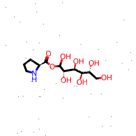 O=C(OC(O)[C@@H](O)[C@@H](O)[C@H](O)[C@H](O)CO)[C@@H]1CCCN1